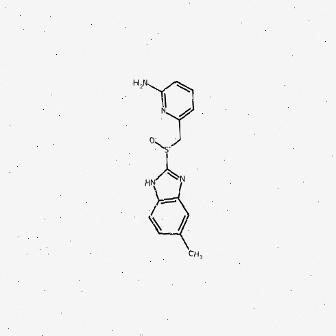 Cc1ccc2[nH]c([S+]([O-])Cc3cccc(N)n3)nc2c1